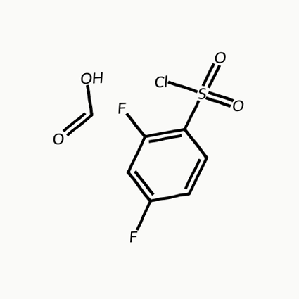 O=CO.O=S(=O)(Cl)c1ccc(F)cc1F